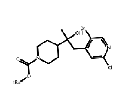 CC(C)(C)OC(=O)N1CCC(C(C)(O)Cc2cc(Cl)ncc2Br)CC1